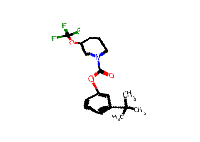 CC(C)(C)c1cccc(OC(=O)N2CCCC(OC(F)(F)F)C2)c1